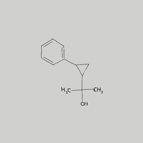 CC(C)(O)C1CC1c1ccccc1